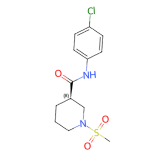 CS(=O)(=O)N1CCC[C@@H](C(=O)Nc2ccc(Cl)cc2)C1